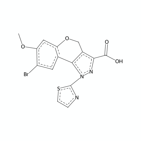 COc1cc2c(cc1Br)-c1c(c(C(=O)O)nn1-c1nccs1)CO2